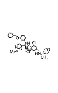 CSc1nccc(-c2c(-c3cccc(OCc4ccccc4)c3)nc(-c3c(Cl)cc(CNC(C)N4CCOCC4)cc3Cl)n2O)n1